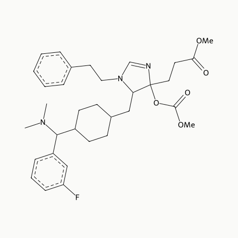 COC(=O)CCC1(OC(=O)OC)N=CN(CCc2ccccc2)C1CC1CCC(C(c2cccc(F)c2)N(C)C)CC1